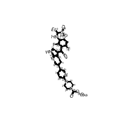 CCC(Nc1ccc(F)c(C(=O)c2c[nH]c3ncc(-c4ccc(N5CCN(C(=O)OC(C)(C)C)CC5)nc4)cc23)c1F)[SH](=O)=O